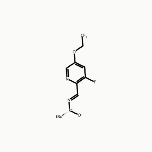 CC(C)(C)[S@@+]([O-])/N=C/c1ncc(OCC(F)(F)F)cc1F